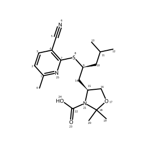 Cc1ccc(C#N)c(S[C@@H](CC(C)C)C[C@H]2COC(C)(C)N2C(=O)O)n1